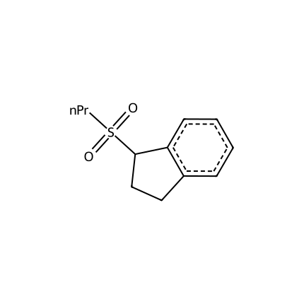 [CH2]CCS(=O)(=O)C1CCc2ccccc21